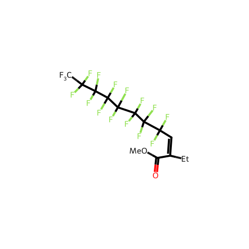 CCC(=CC(F)(F)C(F)(F)C(F)(F)C(F)(F)C(F)(F)C(F)(F)C(F)(F)C(F)(F)F)C(=O)OC